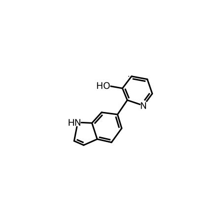 Oc1[c]ccnc1-c1ccc2cc[nH]c2c1